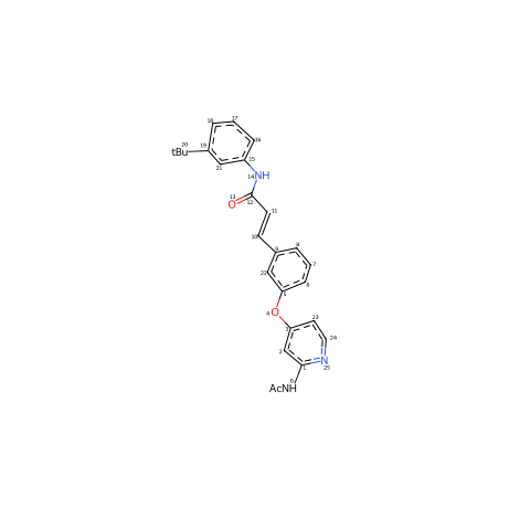 CC(=O)Nc1cc(Oc2cccc(C=CC(=O)Nc3cccc(C(C)(C)C)c3)c2)ccn1